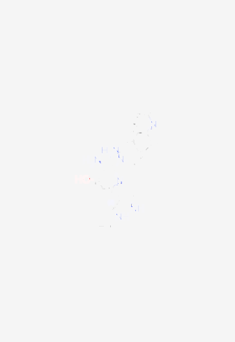 CN/C=C(\C=N)c1cc(O)c(N)c(N(N)Cc2ccc3ncccc3c2)n1